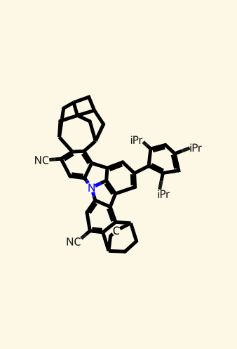 CC(C)c1cc(C(C)C)c(-c2cc3c4c5c(c(C#N)cc4n4c6cc(C#N)c7c(c6c(c2)c34)C2CC3CC4CC7CC43C2)C2CCC5CC2)c(C(C)C)c1